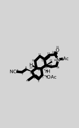 CC(=O)O[C@@H]1C=C(C)[C@@H](CCC#N)[C@@H]2CCC3=CC(=O)N(C(C)=O)CC[C@]3(C)[C@H]21